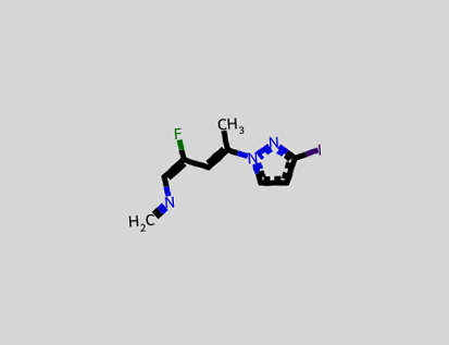 C=N/C=C(F)\C=C(/C)n1ccc(I)n1